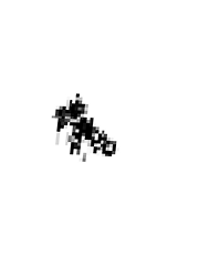 NC1c2cccnc2CC12CCN(c1ncc(Sc3cccnc3N3CCC3CF)nc1CO)CC2